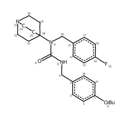 CC(C)COc1ccc(CNC(=O)N(Cc2ccc(F)cc2)C23CCN(CC2)CC3)cc1